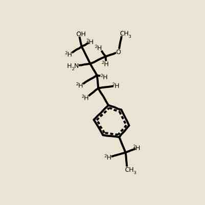 [2H]C([2H])(C)c1ccc(C([2H])([2H])C([2H])([2H])C(N)(C([2H])([2H])O)C([2H])([2H])OC)cc1